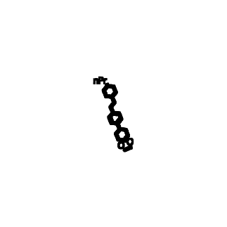 CCCC1CCC(CCc2ccc(C3CCC4(CC3)OCCO4)cc2)CC1